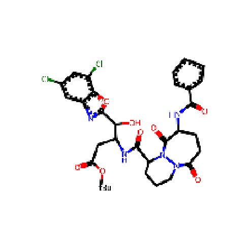 CC(C)(C)OC(=O)CC(NC(=O)C1CCCN2C(=O)CCC(NC(=O)c3ccccc3)C(=O)N12)C(O)c1nc2cc(Cl)cc(Cl)c2o1